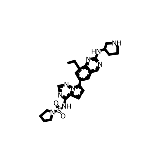 CCc1cc(-c2ccc3c(NS(=O)(=O)N4CCCC4)ncnn23)cc2cnc(NC3CCCNC3)nc12